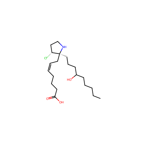 CCCCCC(O)CCC[C@@]1(C/C=C\CCCC(=O)O)NCC[C@H]1Cl